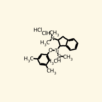 Cc1cc(C)cc([O][Ti]([CH]2c3ccccc3CC2N(C)C)[SiH](C)C)c1.Cl.Cl